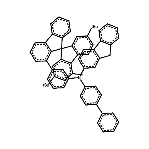 Cc1cc(C(C)(C)C)cc2c1-c1ccc(C(C)(C)C)cc1C21c2ccccc2-c2cccc(-c3cccc(N(c4ccc(-c5ccccc5)cc4)c4ccc5c(c4)Cc4ccccc4-5)c3)c21